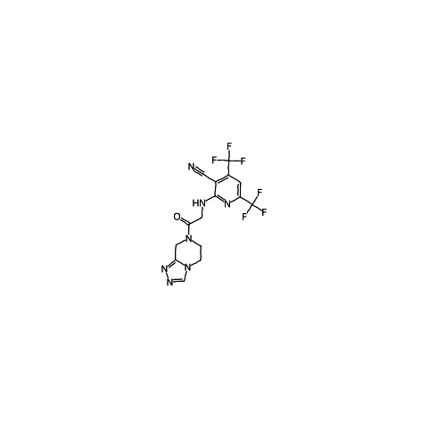 N#Cc1c(C(F)(F)F)cc(C(F)(F)F)nc1NCC(=O)N1CCn2cnnc2C1